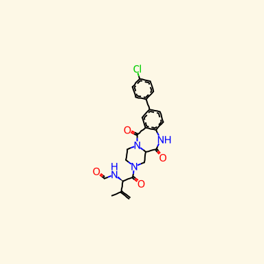 C=C(C)[C@@H](NC=O)C(=O)N1CCN2C(=O)c3cc(-c4ccc(Cl)cc4)ccc3NC(=O)C2C1